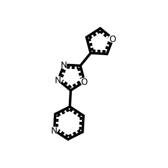 c1cncc(-c2nnc(-c3ccoc3)o2)c1